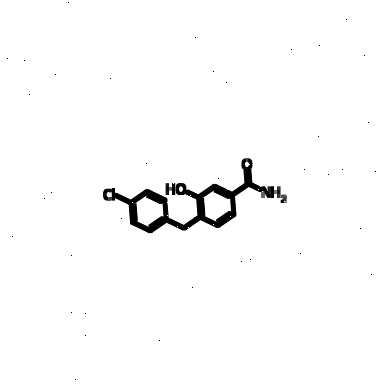 NC(=O)c1ccc(Cc2ccc(Cl)cc2)c(O)c1